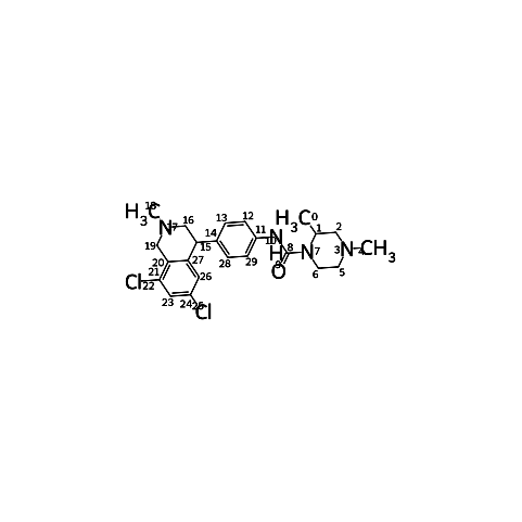 CC1CN(C)CCN1C(=O)Nc1ccc(C2CN(C)Cc3c(Cl)cc(Cl)cc32)cc1